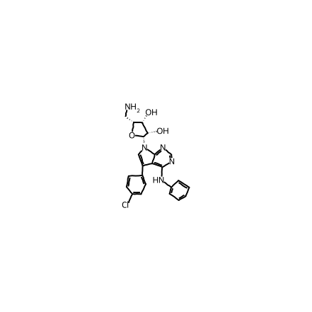 NC[C@H]1O[C@@H](n2cc(-c3ccc(Cl)cc3)c3c(Nc4ccccc4)ncnc32)[C@@H](O)[C@H]1O